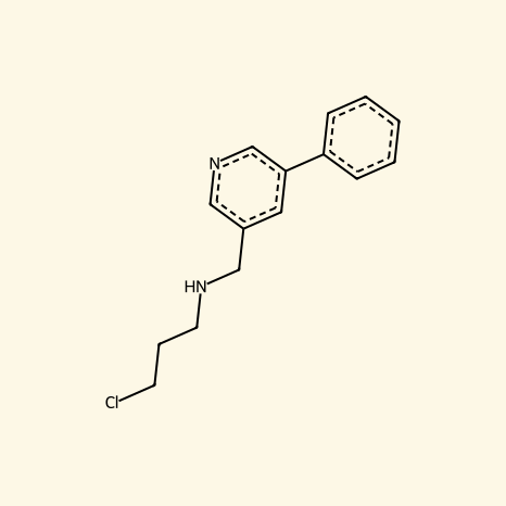 ClCCCNCc1cncc(-c2ccccc2)c1